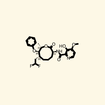 COc1ccnc(C(=O)N[C@H]2CCC[C@H](CC(F)F)[C@@H](Oc3ccccc3)[C@H](C)OC2=O)c1O